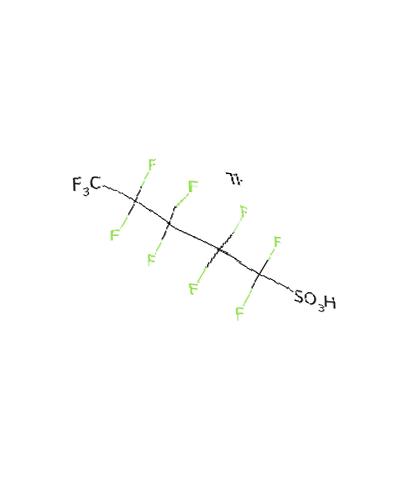 O=S(=O)(O)C(F)(F)C(F)(F)C(F)(F)C(F)(F)C(F)(F)F.[Tl]